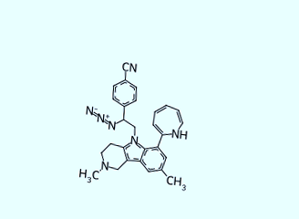 Cc1cc(C2=CC=CC=CN2)c2c(c1)c1c(n2CC(N=[N+]=[N-])c2ccc(C#N)cc2)CCN(C)C1